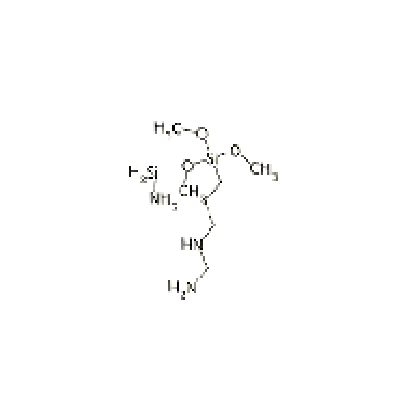 CO[Si](CCCNCN)(OC)OC.N[SiH3]